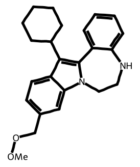 COOCc1ccc2c(C3CCCCC3)c3n(c2c1)CCNc1ccccc1-3